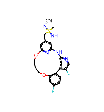 CS(=N)(Cc1cc2nc(c1)OCCCOc1cc(F)ccc1-c1cc(ncc1F)N2)=NC#N